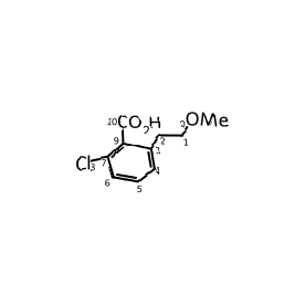 COCCc1cccc(Cl)c1C(=O)O